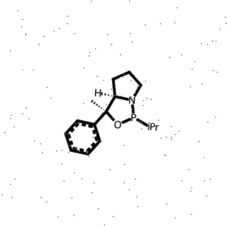 CC(C)P1O[C@@](C)(c2ccccc2)[C@H]2CCCN21